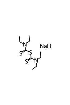 CCN(CC)C(=S)SC(=S)N(CC)CC.[NaH]